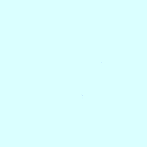 CCOc1ccccc1Sc1ccc2[nH]cc(C3=CCN4CCCC4C3)c2c1